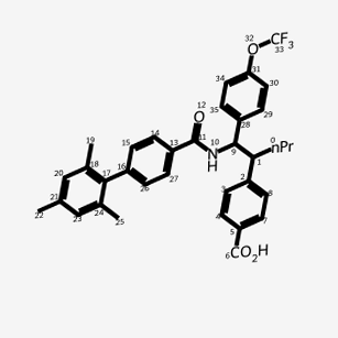 CCCC(c1ccc(C(=O)O)cc1)C(NC(=O)c1ccc(-c2c(C)cc(C)cc2C)cc1)c1ccc(OC(F)(F)F)cc1